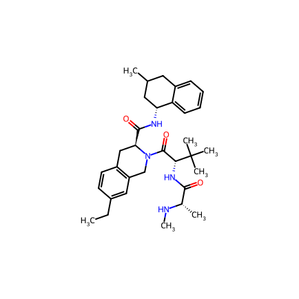 CCc1ccc2c(c1)CN(C(=O)[C@@H](NC(=O)[C@H](C)NC)C(C)(C)C)[C@H](C(=O)N[C@@H]1CC(C)Cc3ccccc31)C2